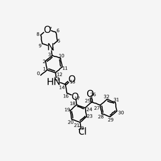 Cc1cc(N2CCOCC2)ccc1NC(=O)COc1ccc(Cl)cc1C(=O)c1ccccc1